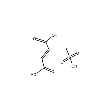 CS(=O)(=O)O.O=C(O)/C=C/C(=O)O